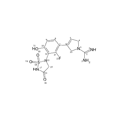 N=C(N)N1CC=C(c2ccc(O)c(N3CC(=O)NS3(=O)=O)c2F)C1